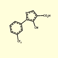 N#Cc1c(C(=O)O)cnn1-c1cccc(C(F)(F)F)c1